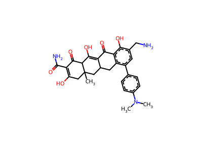 CN(C)c1ccc(-c2cc(CN)c(O)c3c2CC2CC4(C)CC(O)=C(C(N)=O)C(=O)C4C(O)=C2C3=O)cc1